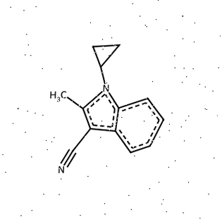 Cc1c(C#N)c2ccccc2n1C1CC1